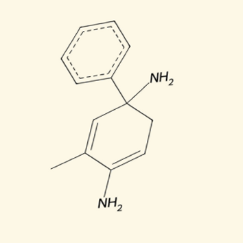 CC1=CC(N)(c2ccccc2)CC=C1N